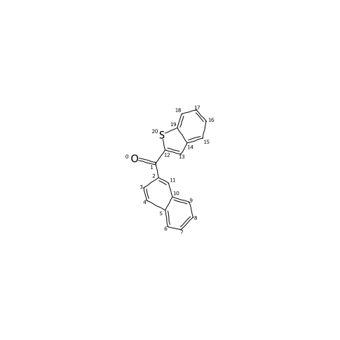 O=C(c1ccc2ccccc2c1)c1cc2ccccc2s1